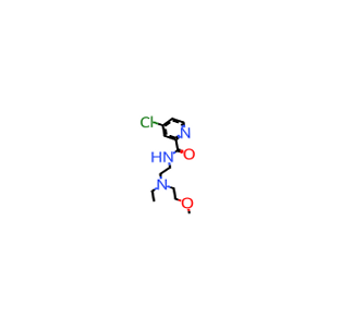 CCN(CCNC(=O)c1cc(Cl)ccn1)CCOC